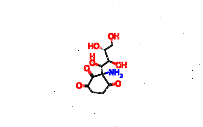 N[C@@]1([C@@H](O)[C@H](O)[C@H](O)CO)C(=O)CCC(=O)C1=O